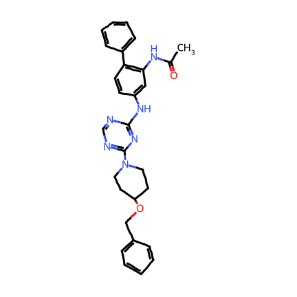 CC(=O)Nc1cc(Nc2ncnc(N3CCC(OCc4ccccc4)CC3)n2)ccc1-c1ccccc1